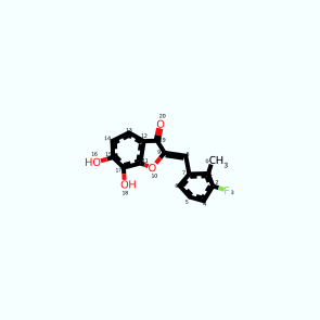 Cc1c(F)cccc1C=C1Oc2c(ccc(O)c2O)C1=O